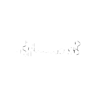 O=C(Nc1ccccc1-c1ccccc1)OC1CCN(CCCCCCCCCNCc2cc(F)cc(Cl)c2O)CC1